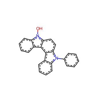 On1c2ccccc2c2c3c4ccccc4n(-c4ccccc4)c3ccc21